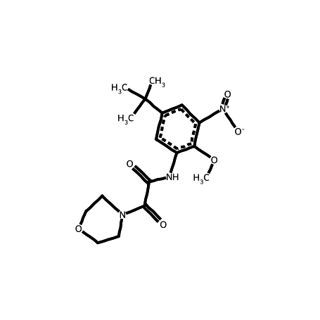 COc1c(NC(=O)C(=O)N2CCOCC2)cc(C(C)(C)C)cc1[N+](=O)[O-]